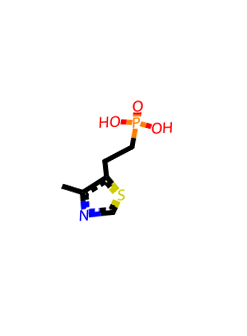 Cc1ncsc1CCP(=O)(O)O